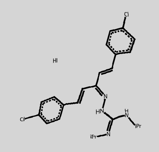 CC(C)/N=C(\NN=C(/C=C/c1ccc(Cl)cc1)/C=C/c1ccc(Cl)cc1)NC(C)C.I